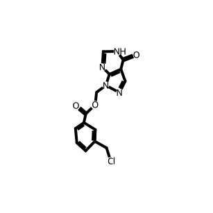 O=C(OCn1ncc2c(=O)[nH]cnc21)c1cccc(CCl)c1